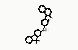 CC1(C)c2ccccc2-c2ccc(Nc3ccc4c(c3)oc3ccc5ccccc5c34)cc21